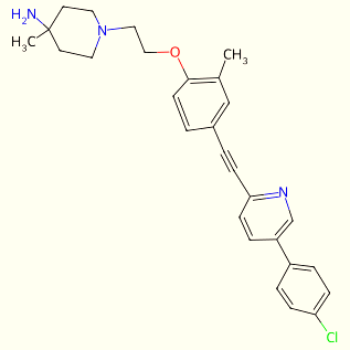 Cc1cc(C#Cc2ccc(-c3ccc(Cl)cc3)cn2)ccc1OCCN1CCC(C)(N)CC1